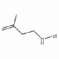 C=C(C)CCNCC